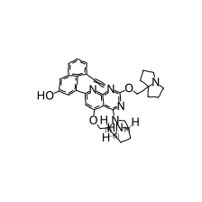 C#Cc1cccc2cc(O)cc(-c3cc4c5c(nc(OCC67CCCN6CCC7)nc5n3)N3C[C@H]5CC[C@H](N5)[C@H]3CO4)c12